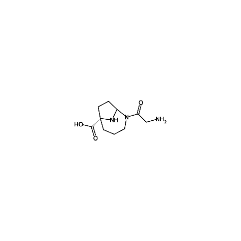 NCC(=O)N1CCC[C@@]2(C(=O)O)CCC1N2